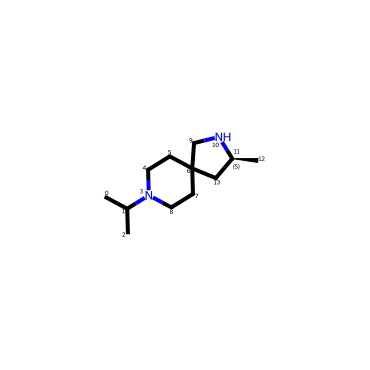 CC(C)N1CCC2(CC1)CN[C@@H](C)C2